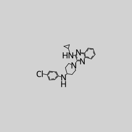 Clc1ccc(NC2CCN(c3nc4ccccc4nc3NC3CC3)CC2)cc1